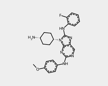 COc1ccc(Nc2ncc3nc(Nc4ccccc4F)n([C@H]4CC[C@@H](N)CC4)c3n2)cc1